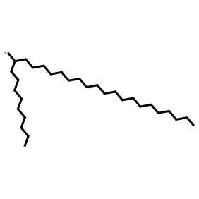 [CH2]C(CCCCCCCCC)CCCCCCCCCCCCCCCCCCCC